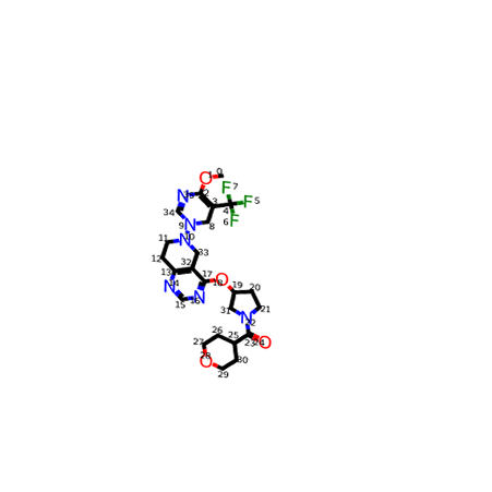 COC1=C(C(F)(F)F)CN(N2CCc3ncnc(OC4CCN(C(=O)C5CCOCC5)C4)c3C2)C=N1